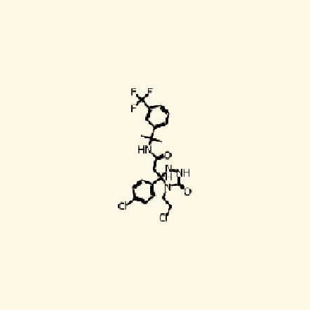 CC(C)(NC(=O)CC1(c2ccc(Cl)cc2)NNC(=O)N1CCCl)c1cccc(C(F)(F)F)c1